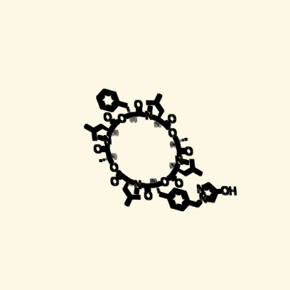 CC(C)C[C@H]1C(=O)O[C@H](Cc2ccc(Cn3cc(O)cn3)cc2)C(=O)N(C)[C@@H](CC(C)C)C(=O)O[C@H](C)C(=O)N(C)[C@@H](CC(C)C)C(=O)O[C@H](Cc2ccccc2)C(=O)N(C)[C@@H](CC(C)C)C(=O)O[C@H](C)C(=O)N1C